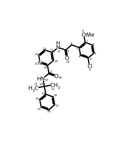 COc1ccc(Cl)cc1CC(=O)Nc1ccnc(C(=O)NC(C)(C)c2ccccc2)c1